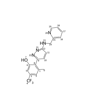 Cc1cc(C(F)(F)F)cc(O)c1-c1ccc(NCc2ccccn2)nn1